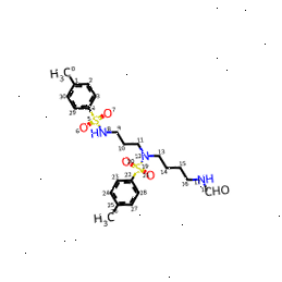 Cc1ccc(S(=O)(=O)NCCCN(CCCCNC=O)S(=O)(=O)c2ccc(C)cc2)cc1